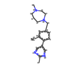 Cc1ncc(-c2ccc(CN3CCCN(C)CC3)cc2C#N)cn1